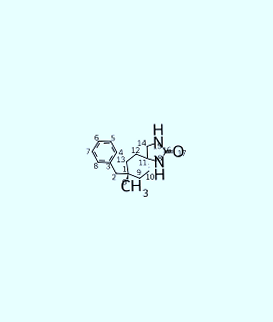 C[C@]1(Cc2ccccc2)CC[C@]2(CC1)CNC(=O)N2